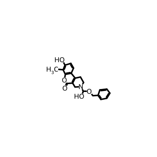 Cc1c(O)ccc2c3c(c(=O)oc12)CN(C(O)OCc1ccccc1)CC3